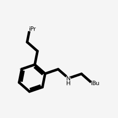 CCC(C)CNCc1ccc[c]c1CCC(C)C